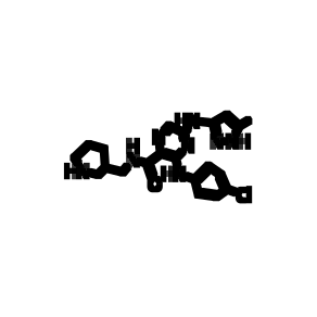 Cc1cc(Nc2cnc(C(=O)NCC3CCCNC3)c(Nc3ccc(Cl)cc3)n2)n[nH]1